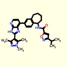 Cc1nn(C)c(C)c1-c1nc2c(-c3ccc4c(c3)CCCCC4NC(=O)c3cc(C(C)C)no3)ccnc2[nH]1